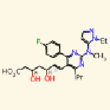 CCn1nccc1N(C)c1nc(-c2ccc(F)cc2)c(/C=C/[C@@H](O)C[C@@H](O)CC(=O)O)c(C(C)C)n1